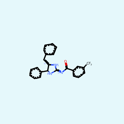 O=C(/N=C1\N/C(=C\c2ccccc2)C(c2ccccc2)N1)c1cccc(C(F)(F)F)c1